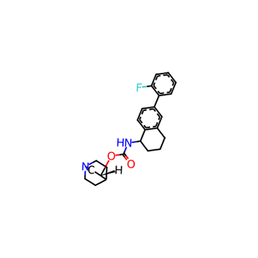 O=C(NC1CCCc2cc(-c3ccccc3F)ccc21)O[C@H]1CN2CCC1CC2